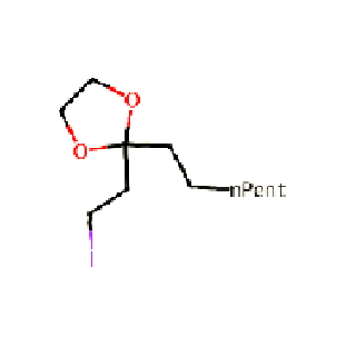 CCCCCCCC1(CCI)OCCO1